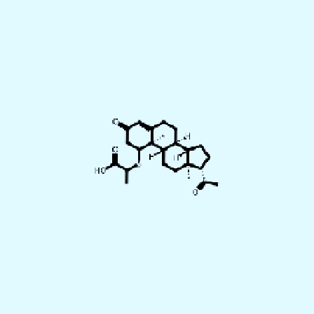 CC(=O)[C@H]1CC[C@H]2[C@@H]3CCC4=CC(=O)CC(SC(C)C(=O)O)[C@]4(C)[C@H]3CC[C@]12C